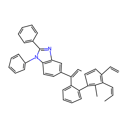 C=Cc1ccc(-c2ccccc2/C(=C\C)c2ccc3c(c2)nc(-c2ccccc2)n3-c2ccccc2)c(C)c1/C=C\C